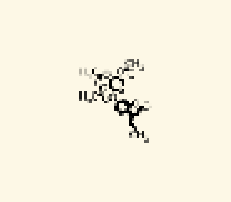 CCCc1cc(=O)oc2cc(O[C@H]3SC[C@@H](OC(C)=O)[C@H](OC(C)=O)[C@H]3OC(C)=O)ccc12